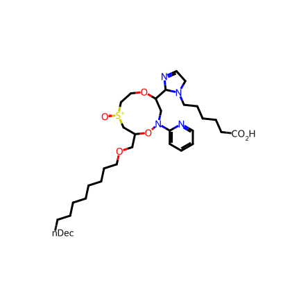 CCCCCCCCCCCCCCCCCCOCC1C[S+]([O-])CCOC(C2N=CCN2CCCCCC(=O)O)CN(c2ccccn2)O1